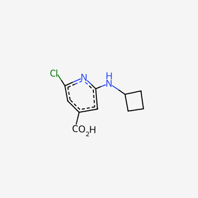 O=C(O)c1cc(Cl)nc(NC2CCC2)c1